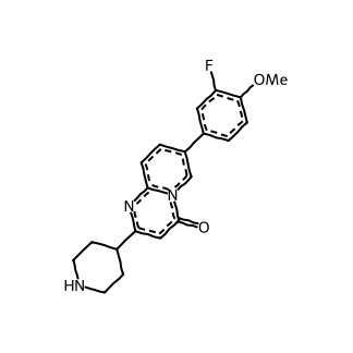 COc1ccc(-c2ccc3nc(C4CCNCC4)cc(=O)n3c2)cc1F